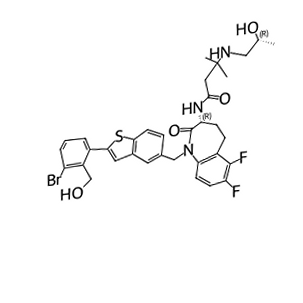 C[C@@H](O)CNC(C)(C)CC(=O)N[C@@H]1CCc2c(ccc(F)c2F)N(Cc2ccc3sc(-c4cccc(Br)c4CO)cc3c2)C1=O